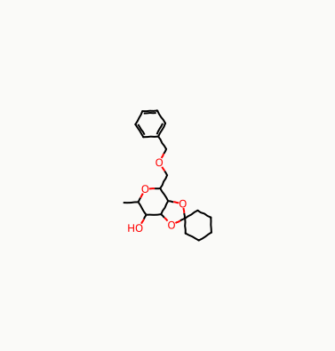 CC1OC(COCc2ccccc2)C2OC3(CCCCC3)OC2C1O